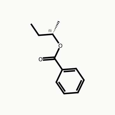 CC[C@H](C)OC(=O)c1ccccc1